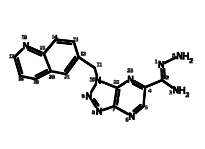 NN=C(N)c1cnc2nnn(Cc3ccc4ncccc4c3)c2n1